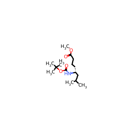 COC(=O)CCC[C@H](CC(C)C)NC(=O)OC(C)(C)C